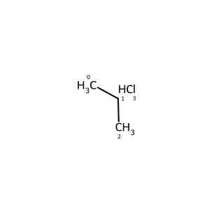 CCC.Cl